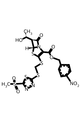 C[C@@H](O)[C@H]1C(=O)N2C(C(=O)OCc3ccc([N+](=O)[O-])cc3)=C(SCSc3nnc(S(C)(=O)=O)s3)S[C@H]12